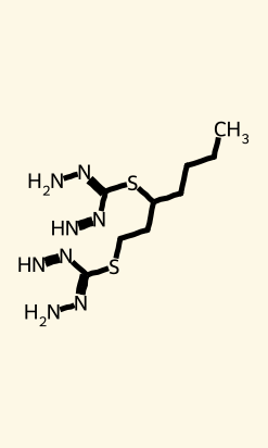 CCCCC(CCSC(N=N)=NN)SC(N=N)=NN